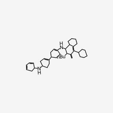 C=C1C(C2CCCCC2)=C2CCCCC2C(NC2=CCC(C3=CCC(NC4C=CC=CC4)CC3)CC2)C1CCCC